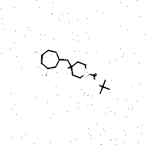 C[C@@H]1CC(CC2(O)CCN(C(=O)OC(C)(C)C)CC2)CC[C@H](C)C1